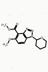 COC(=O)c1c(OC)ccc2c1nnn2C1CCCCO1